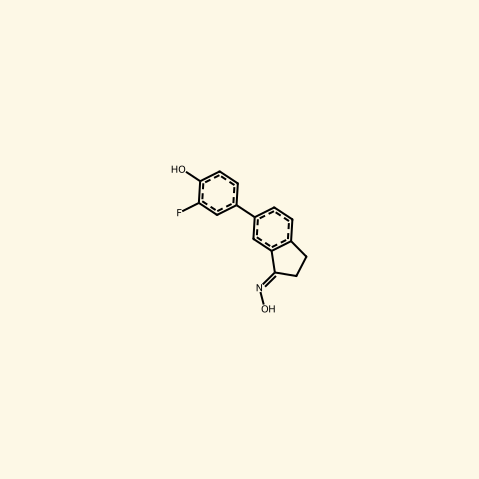 O/N=C1\CCc2ccc(-c3ccc(O)c(F)c3)cc21